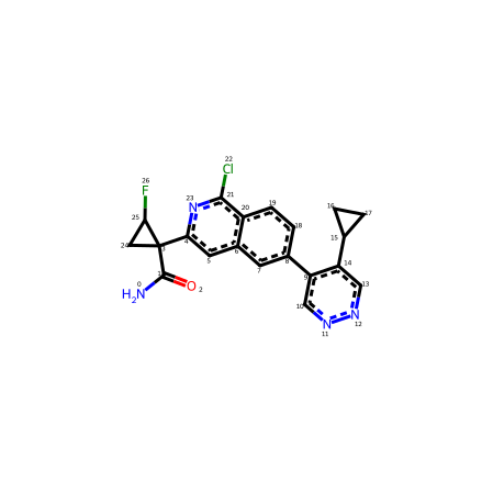 NC(=O)C1(c2cc3cc(-c4cnncc4C4CC4)ccc3c(Cl)n2)CC1F